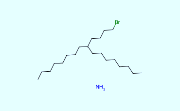 CCCCCCCC[C](CCCCBr)CCCCCCCC.N